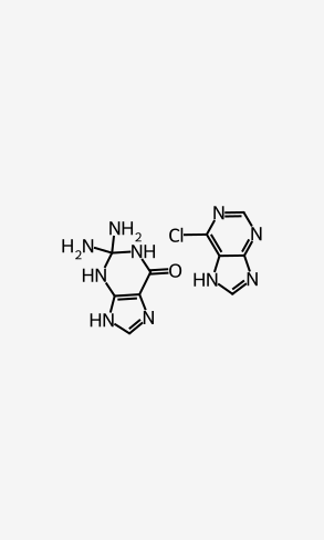 Clc1ncnc2nc[nH]c12.NC1(N)NC(=O)c2nc[nH]c2N1